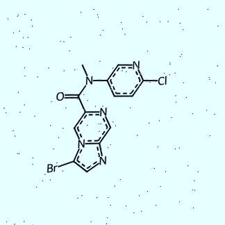 CN(C(=O)c1cn2c(Br)cnc2cn1)c1ccc(Cl)nc1